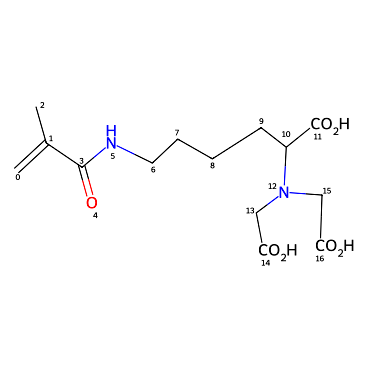 C=C(C)C(=O)NCCCCC(C(=O)O)N(CC(=O)O)CC(=O)O